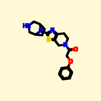 O=C(COc1ccccc1)N1CCc2nc(N3C4CCC3CNC4)sc2C1